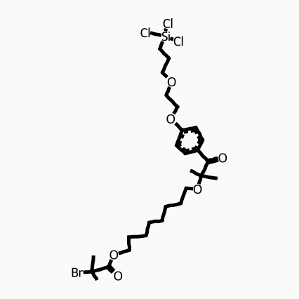 CC(C)(Br)C(=O)OCCCCCCCCOC(C)(C)C(=O)c1ccc(OCCOCCC[Si](Cl)(Cl)Cl)cc1